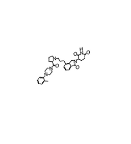 Cc1ccccc1N1CCN(C(=O)C2CCCN2CCCc2cccc3c2CN(C2CCC(=O)NC2=O)C3=O)CC1